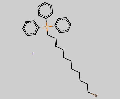 BrCCCCCCCCC=CC[P+](c1ccccc1)(c1ccccc1)c1ccccc1.[I-]